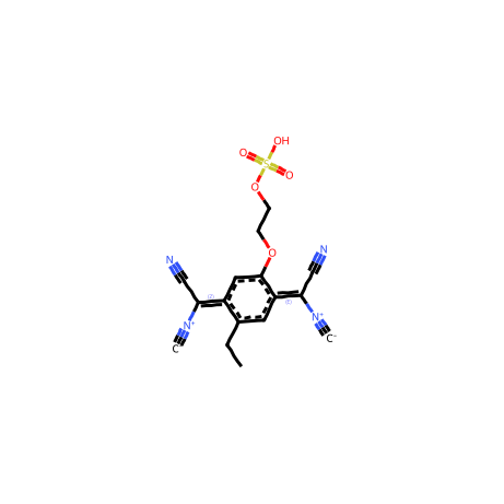 [C-]#[N+]/C(C#N)=c1/cc(OCCOS(=O)(=O)O)/c(=C(\C#N)[N+]#[C-])cc1CC